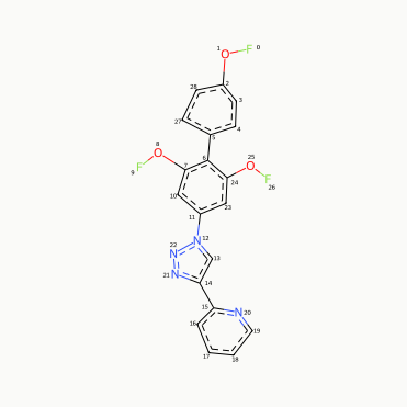 FOc1ccc(-c2c(OF)cc(-n3cc(-c4ccccn4)nn3)cc2OF)cc1